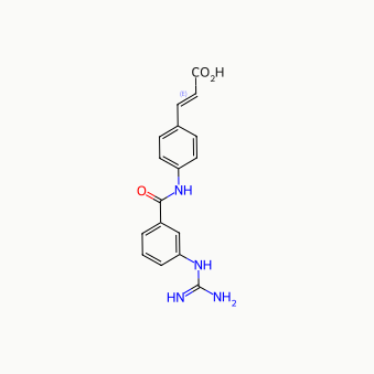 N=C(N)Nc1cccc(C(=O)Nc2ccc(/C=C/C(=O)O)cc2)c1